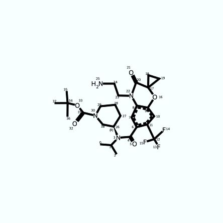 CC(C)N(C(=O)c1cc2c(cc1C(F)(F)F)OC1(CC1)C(=O)N2CCN)[C@@H]1CCCN(C(=O)OC(C)(C)C)C1